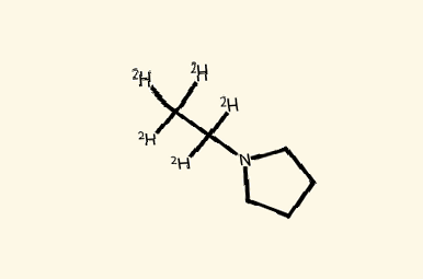 [2H]C([2H])([2H])C([2H])([2H])N1CCCC1